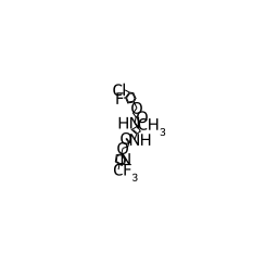 CC1(NC(=O)COc2ccc(Cl)c(F)c2)C=C(NC(=O)COc2ccc(C(F)(F)F)cn2)C1